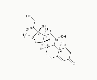 C[C@H]1C[C@H]2[C@@H]3CCC4=CC(=O)C=C[C@]4(C)C3[C@@H](O)C[C@]2(C)[C@@]1(O)C(=O)CO